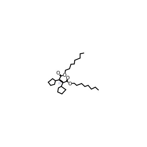 CCCCCCCCOC(=O)/C(=C(\C(=O)OCCCCCCCC)C1CCCC1)C1CCCC1